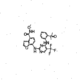 CONC(=O)c1ccc(Nc2ncc(C(F)(F)F)c(Nc3ccccc3P(C)(C)=O)n2)c2occc12